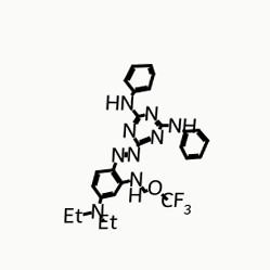 CCN(CC)c1ccc(N=Nc2nc(Nc3ccccc3)nc(Nc3ccccc3)n2)c(NCOC(F)(F)F)c1